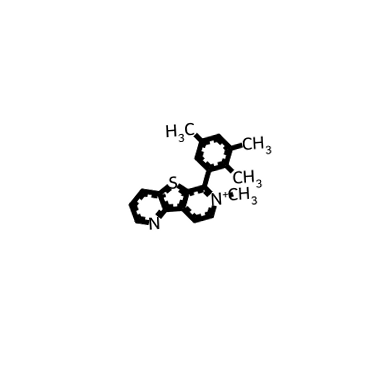 Cc1cc(C)c(C)c(-c2c3sc4cccnc4c3cc[n+]2C)c1